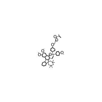 C=C(C)C(=O)OCCOc1ccc(C2(c3ccc(OC)cc3)C=Cc3c4c(c5cc(OC)c(OC)cc5c3O2)-c2ccccc2C42CC(C)(C)CC(C)(C)C2)cc1